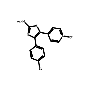 CCc1ccc(-c2nc(NC(C)=O)sc2-c2cc[n+]([O-])cc2)cc1